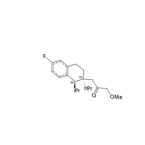 CCC[C@@]1(CC(=O)COC)CCc2cc(F)ccc2[C@@H]1C(C)C